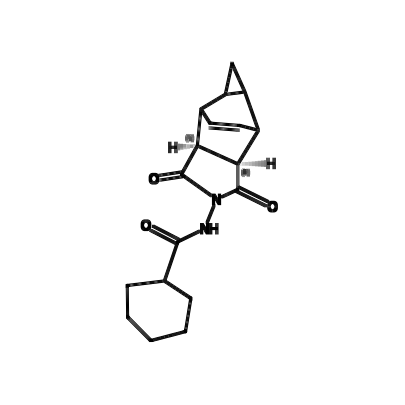 O=C(NN1C(=O)[C@@H]2C3C=CC(C4CC43)[C@@H]2C1=O)C1CCCCC1